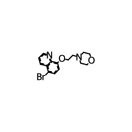 Brc1ccc(OCCN2CCOCC2)c2ncccc12